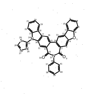 O=c1c2cc3oc4ccccc4c3cc2c2cc3c4ccccc4n(-c4nncs4)c3cc2c(=O)n1-c1ccccc1